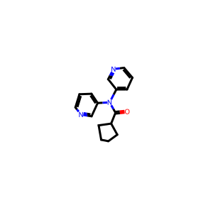 O=C(C1CCCC1)N(c1cccnc1)c1cccnc1